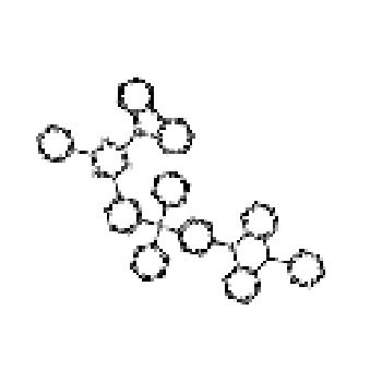 c1ccc(-c2nc(-c3cccc([Si](c4ccccc4)(c4ccccc4)c4ccc(B5c6ccccc6C(c6ccccc6)c6ccccc65)cc4)c3)nc(-n3c4ccccc4c4ccccc43)n2)cc1